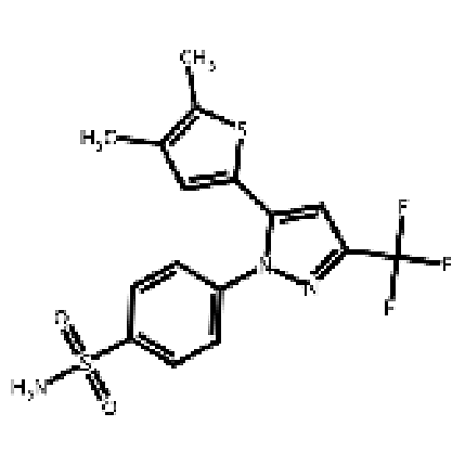 Cc1cc(-c2cc(C(F)(F)F)nn2-c2ccc(S(N)(=O)=O)cc2)sc1C